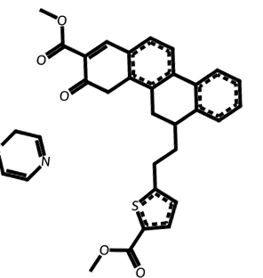 C1=CSCC=N1.COC(=O)C1=Cc2ccc3c(c2CC1=O)CC(CCc1ccc(C(=O)OC)s1)c1ccccc1-3